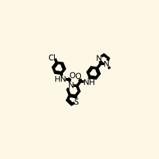 CN1CCN=C1c1ccc(NC(=O)C2Cc3sccc3CN2C(=O)Nc2ccc(Cl)cc2)cc1